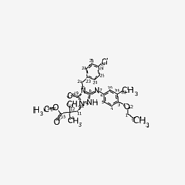 CCOc1ccc(/N=c2\[nH]n(CC(C)(C)C(=O)OC)c(=O)n2Cc2ccc(Cl)cc2)cc1C